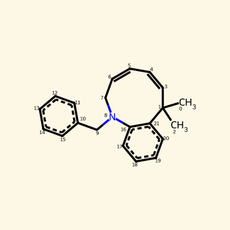 CC1(C)/C=C\C=C/CN(Cc2ccccc2)c2ccccc21